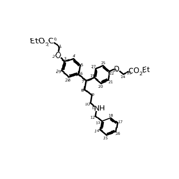 CCOC(=O)COc1ccc(C(C[CH]CNCc2ccccc2)c2ccc(OCC(=O)OCC)cc2)cc1